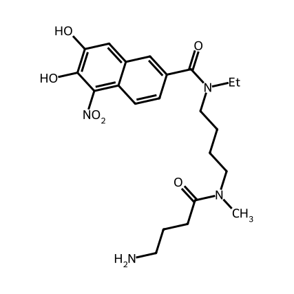 CCN(CCCCN(C)C(=O)CCCN)C(=O)c1ccc2c([N+](=O)[O-])c(O)c(O)cc2c1